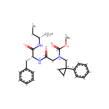 CC(C)C[C@@H](NC(=O)[C@@H](Cc1ccccc1)NC(=O)CN(CC1(c2ccccc2)CC1)C(=O)OC(C)(C)C)C(=O)O